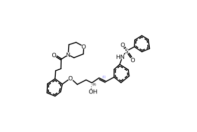 O=C(CCc1ccccc1OCC[C@@H](O)/C=C/c1cccc(NS(=O)(=O)c2ccccc2)c1)N1CCOCC1